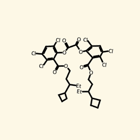 CCC(CCOC(=O)c1c(Cl)c(Cl)cc(Cl)c1OC(=O)C(=O)Oc1c(Cl)cc(Cl)c(Cl)c1C(=O)OCCC(CC)C1CCC1)C1CCC1